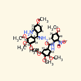 COc1ccc(C(N)c2cc(OC)c(OC)c(OC)c2)c(N)c1.COc1ccc(NC(=O)c2cc(OC)c(OC)c(OC)c2)c([N+](=O)[O-])c1